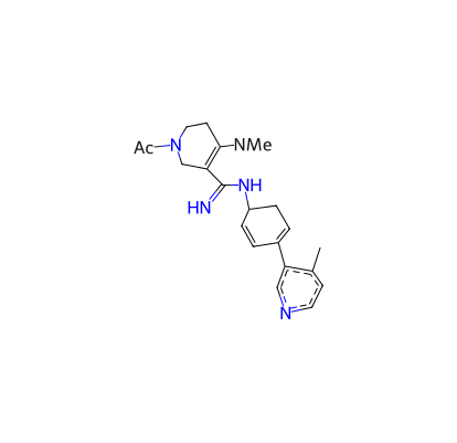 CNC1=C(C(=N)NC2C=CC(c3cnccc3C)=CC2)CN(C(C)=O)CC1